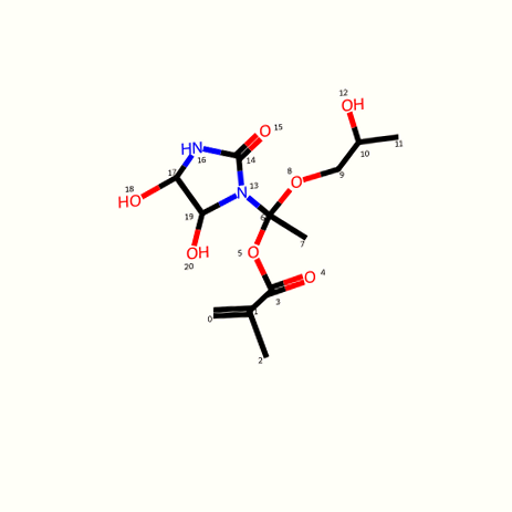 C=C(C)C(=O)OC(C)(OCC(C)O)N1C(=O)NC(O)C1O